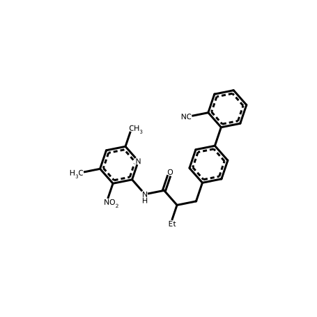 CCC(Cc1ccc(-c2ccccc2C#N)cc1)C(=O)Nc1nc(C)cc(C)c1[N+](=O)[O-]